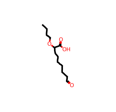 CCCCOC(CCCCCCC=O)C(=O)O